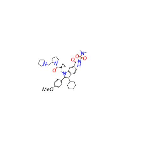 COc1ccc(-c2c(C3CCCCC3)c3ccc(C(=O)NS(=O)(=O)N(C)C)cc3n2CC2(C(=O)N3CCCC3CN3CCCC3)CC2)cc1